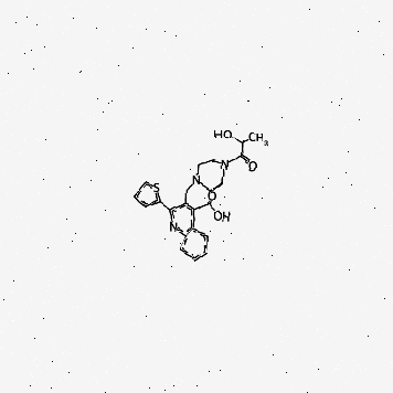 CC(O)C(=O)N1CCN(Cc2c(-c3cccs3)nc3ccccc3c2C(=O)O)CC1